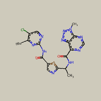 CC(NC(=O)c1ncnc2c1nnn2C)c1ncc(C(=O)Nc2ncc(Cl)c(C(C)(C)C)n2)s1